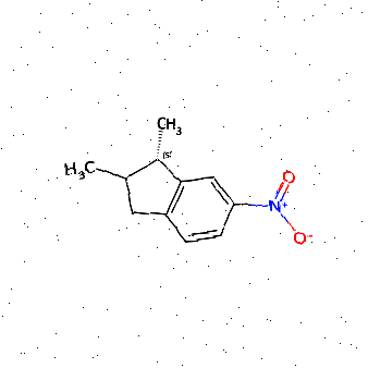 CC1Cc2ccc([N+](=O)[O-])cc2[C@H]1C